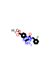 COC(=O)c1ccc2c(c1)nc(N)c1nn(Cc3ccccc3F)c(=O)n12